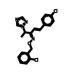 CC(C(C=Cc1ccc(Cl)cc1)=NOCc1ccccc1Cl)n1cncn1